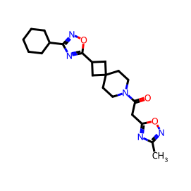 Cc1noc(CC(=O)N2CCC3(CC2)CC(c2nc(C4CCCCC4)no2)C3)n1